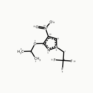 CC(C)Oc1nn(CC(F)(F)F)cc1[N+](=O)[O-]